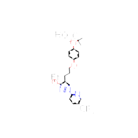 CCOc1nn(-c2ccc(C(F)(F)F)cn2)cc1CCCOc1ccc(OC(C)(C)C(=O)O)cc1